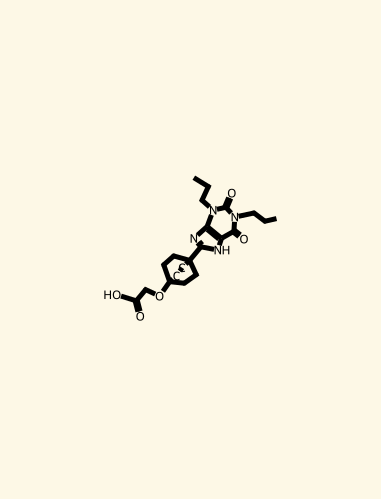 CCCn1c(=O)c2[nH]c(C34CCC(OCC(=O)O)(CC3)CC4)nc2n(CCC)c1=O